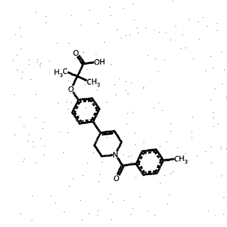 Cc1ccc(C(=O)N2CC=C(c3ccc(OC(C)(C)C(=O)O)cc3)CC2)cc1